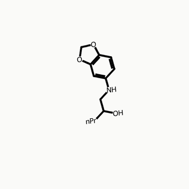 CCCC(O)CNc1ccc2c(c1)OCO2